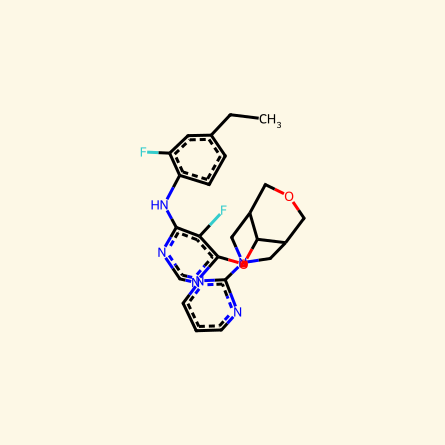 CCc1ccc(Nc2ncnc(OC3C4COCC3CN(c3ncccn3)C4)c2F)c(F)c1